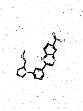 COCC1CCCN1c1cccc(-c2cnc3cc(C(=O)O)ccc3n2)c1